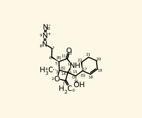 C=C1O[C@@]2(C)[C@@H](CCN=[N+]=[N-])C(=O)N[C@@]12[C@@H](O)[C@@H]1C=CCCC1